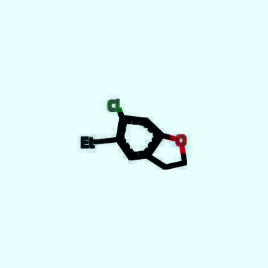 CCc1cc2c(cc1Cl)OCC2